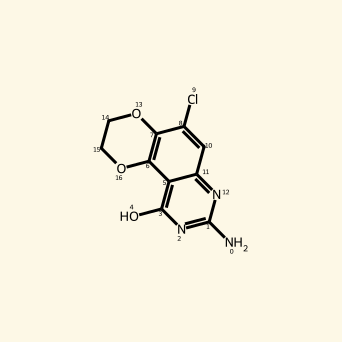 Nc1nc(O)c2c3c(c(Cl)cc2n1)OCCO3